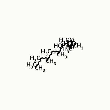 COC1=C(OC)C(=O)C(CCC(C)(O)CCC=C(C)CCC=C(C)CCC=C(C)CCC=C(C)CCC=C(C)C)=C(C)C1=O